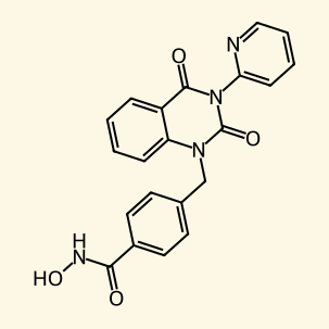 O=C(NO)c1ccc(Cn2c(=O)n(-c3ccccn3)c(=O)c3ccccc32)cc1